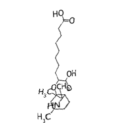 CC12CCC(C(OC(CCCCCCCC(=O)O)C(=O)O)C1)C(C)(C)N2